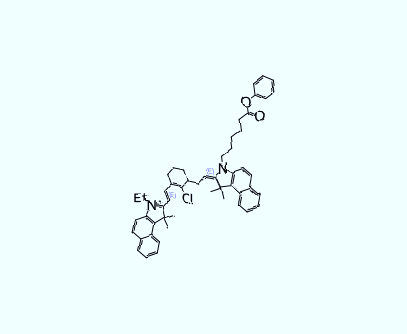 CC[N+]1=C(/C=C/C2=C(Cl)C(C/C=C3/N(CCCCCC(=O)Oc4ccccc4)c4ccc5ccccc5c4C3(C)C)CCC2)C(C)(C)c2c1ccc1ccccc21